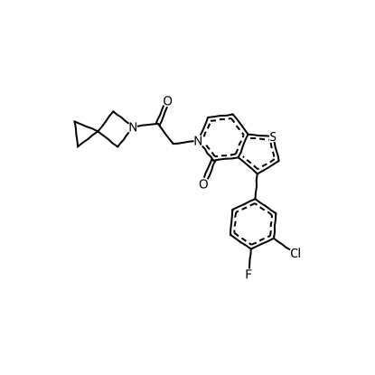 O=C(Cn1ccc2scc(-c3ccc(F)c(Cl)c3)c2c1=O)N1CC2(CC2)C1